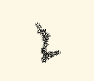 c1cc(-c2ccc3ccccc3c2)cc(-c2cnc3ccc(-c4ccc5c6c(cc7ccccc7c46)-c4cc6ccc(-c7ccc8ccc(-c9nc(-c%10ccc%11ccccc%11c%10)nc(-c%10ccc%11c%12c(cc%13ccccc%13c%10%12)-c%10cc%12ccccc%12cc%10-%11)n9)cc8c7)cc6cc4-5)cc3c2)c1